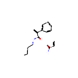 C=C(C(=O)NCCCC)c1ccccc1.C=CC(N)=O